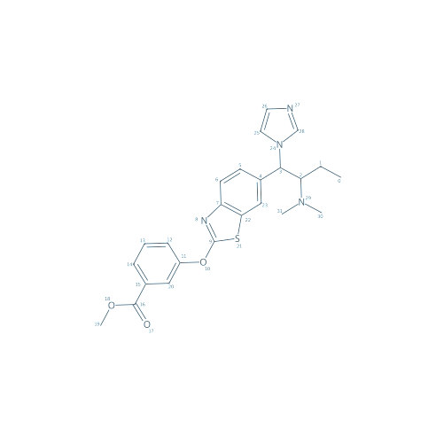 CCC(C(c1ccc2nc(Oc3cccc(C(=O)OC)c3)sc2c1)n1ccnc1)N(C)C